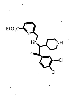 CCOC(=O)c1cccc(CNC(C(=O)c2ccc(Cl)c(Cl)c2)C2CCNCC2)n1